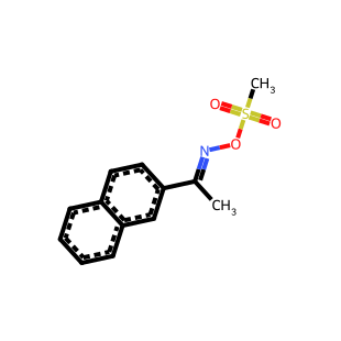 CC(=NOS(C)(=O)=O)c1ccc2ccccc2c1